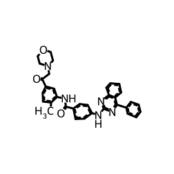 Cc1ccc(C(=O)CN2CCOCC2)cc1NC(=O)c1ccc(Nc2nc(-c3ccccc3)c3ccccc3n2)cc1